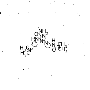 CN(C)Cc1ccc(Nc2nc(N3CCCC(NC(=O)N(C)C)C3)cnc2C(N)=O)cc1